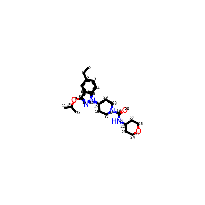 CCc1ccc2c(c1)c(OC(C)C)nn2C1CCN(C(=O)NC2CCOCC2)CC1